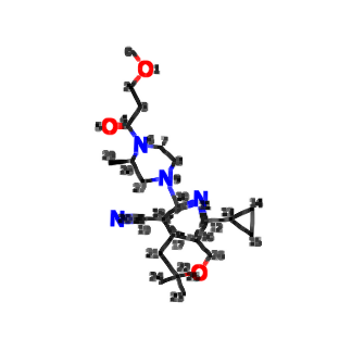 COCCC(=O)N1CCN(c2nc(C3CC3)c3c(c2C#N)CC(C)(C)OC3)C[C@H]1C